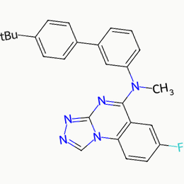 CN(c1cccc(-c2ccc(C(C)(C)C)cc2)c1)c1nc2nncn2c2ccc(F)cc12